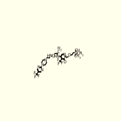 C[C@@H](CONCCN1CCN(c2ncc(C(F)(F)F)cn2)CC1)Nc1cnn(COCC[Si](C)(C)C)c(=O)c1C(F)(F)F